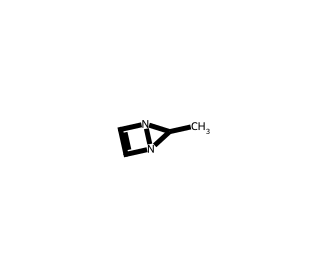 CC1n2ccn21